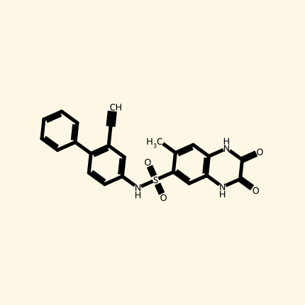 C#Cc1cc(NS(=O)(=O)c2cc3[nH]c(=O)c(=O)[nH]c3cc2C)ccc1-c1ccccc1